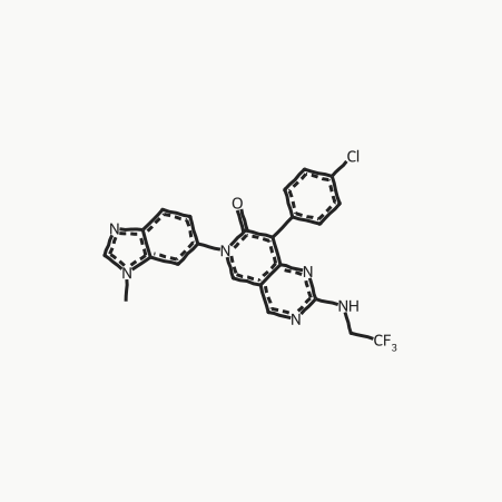 Cn1cnc2ccc(-n3cc4cnc(NCC(F)(F)F)nc4c(-c4ccc(Cl)cc4)c3=O)cc21